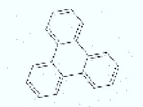 [c]1[c]cc2c(c1)c1ccccc1c1ccccc21